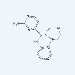 Nc1nccc(CNc2cccnc2N2CCNCC2)n1